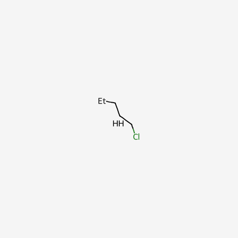 CCCCCCl.[HH]